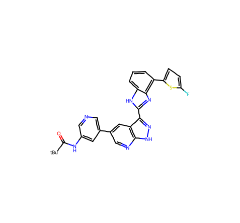 CC(C)(C)C(=O)Nc1cncc(-c2cnc3[nH]nc(-c4nc5c(-c6ccc(F)s6)cccc5[nH]4)c3c2)c1